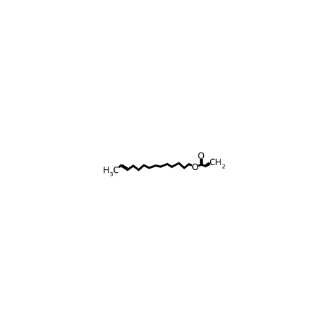 C=CC(=O)OCCCCCCCCCCC/C=C/C